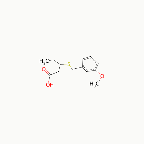 CCC(CC(=O)O)SCc1cccc(OC)c1